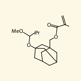 C=C(C)C(=O)OCC12CC3CC(C1)CC(OC(OC)C(C)C)(C3)C2